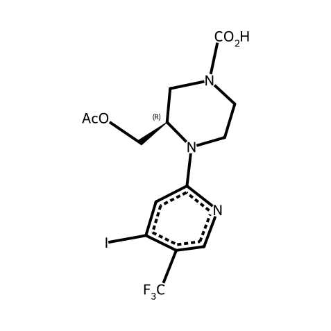 CC(=O)OC[C@H]1CN(C(=O)O)CCN1c1cc(I)c(C(F)(F)F)cn1